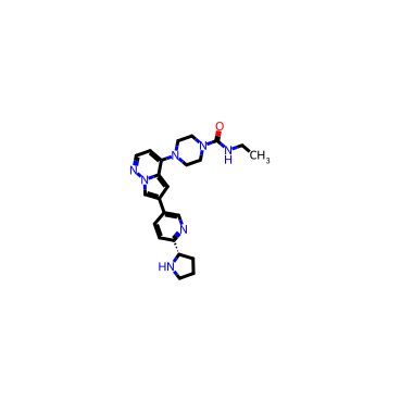 CCNC(=O)N1CCN(c2ccnn3cc(-c4ccc([C@@H]5CCCN5)nc4)cc23)CC1